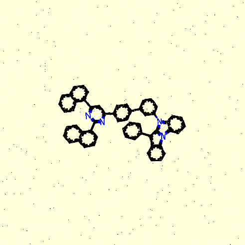 c1ccc(-c2c3ccccc3n3c4ccccc4n(-c4cccc(-c5ccc(-c6cc(-c7cccc8ccccc78)nc(-c7cccc8ccccc78)n6)cc5)c4)c23)cc1